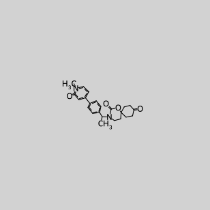 CC(c1ccc(-c2ccn(C)c(=O)c2)cc1)N1CCC2(CCC(=O)CC2)OC1=O